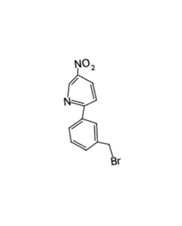 O=[N+]([O-])c1ccc(-c2cccc(CBr)c2)nc1